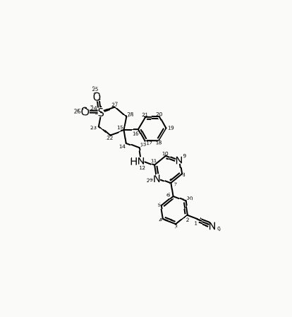 N#Cc1cccc(-c2cncc(NCCC3(c4ccccc4)CCS(=O)(=O)CC3)n2)c1